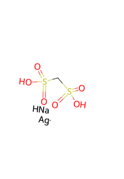 O=S(=O)(O)CS(=O)(=O)O.[Ag].[NaH]